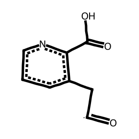 O=[C]Cc1cccnc1C(=O)O